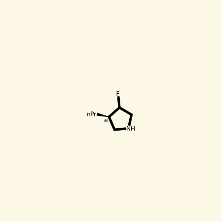 CCC[C@@H]1CNCC1F